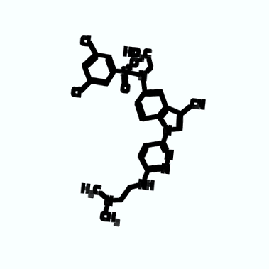 CN(C)CCNc1ccc(-n2cc(C#N)c3cc(N(CC(=O)O)S(=O)(=O)c4cc(Cl)cc(Cl)c4)ccc32)nn1